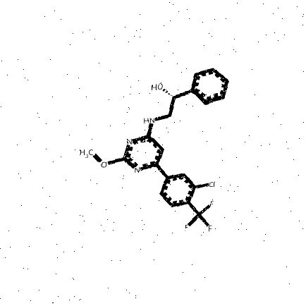 COc1nc(NC[C@H](O)c2ccccc2)cc(-c2ccc(C(F)(F)F)c(Cl)c2)n1